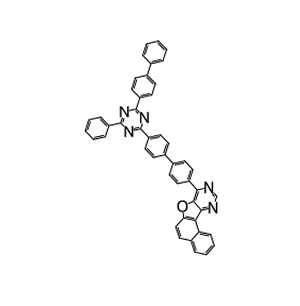 c1ccc(-c2ccc(-c3nc(-c4ccccc4)nc(-c4ccc(-c5ccc(-c6ncnc7c6oc6ccc8ccccc8c67)cc5)cc4)n3)cc2)cc1